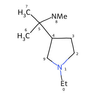 CCN1CCC(C(C)(C)NC)C1